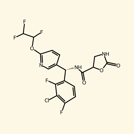 O=C1NCC(C(=O)N[C@@H](c2ccc(OC(F)C(F)F)nc2)c2ccc(F)c(Cl)c2F)O1